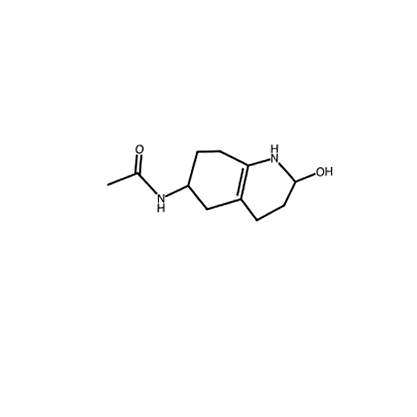 CC(=O)NC1CCC2=C(CCC(O)N2)C1